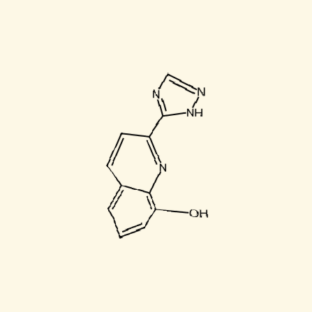 Oc1cccc2ccc(-c3ncn[nH]3)nc12